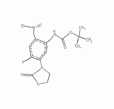 CC(C)(C)OC(=O)Nc1cc(N2CCOC2=O)c(I)cc1[N+](=O)[O-]